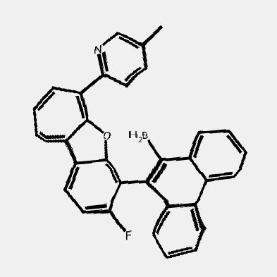 Bc1c(-c2c(F)ccc3c2oc2c(-c4ccc(C)cn4)cccc23)c2ccccc2c2ccccc12